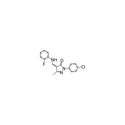 CC1=NN(c2ccc(Cl)cc2)C(=O)C1=CNc1ccccc1F